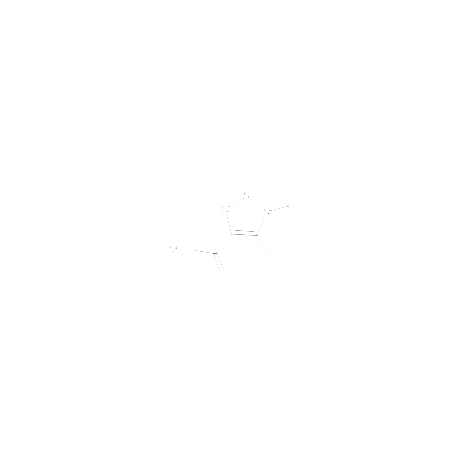 CCCn1nnc(C(=O)OC)c1C